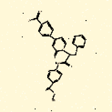 CC(C)(C)OC(=O)c1ccc(NC(=O)C(Cc2ccccc2)n2ccc(-c3ccc(C(=N)N)cc3)cc2=O)cc1